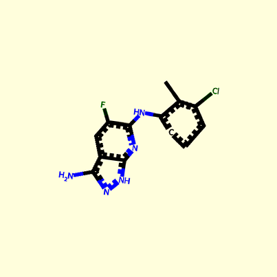 Cc1c(Cl)cccc1Nc1nc2[nH]nc(N)c2cc1F